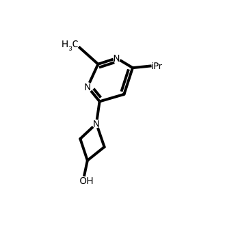 Cc1nc(C(C)C)cc(N2CC(O)C2)n1